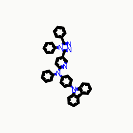 c1ccc(-c2nnc(-c3ccc(N(c4ccccc4)c4ccc(-n5c6ccccc6c6ccccc65)cc4)nc3)n2-c2ccccc2)cc1